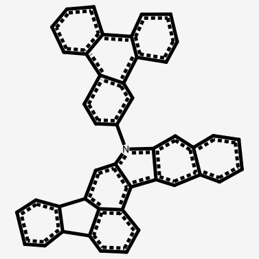 c1ccc2c(c1)-c1cccc3c1c-2cc1c3c2cc3ccccc3cc2n1-c1ccc2c3ccccc3c3ccccc3c2c1